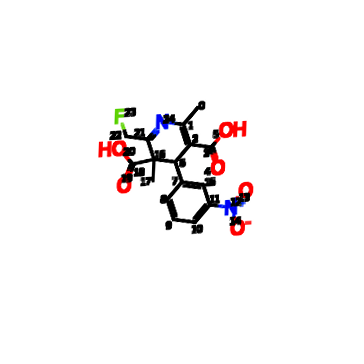 CC1=C(C(=O)O)C(c2cccc([N+](=O)[O-])c2)C(C)(C(=O)O)C(CF)=N1